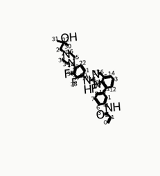 C=CC(=O)Nc1ccc(F)c(-c2cccc3cnc(Nc4ccc(N5CCN(CC(C)(C)O)CC5)c(F)c4F)nc23)c1